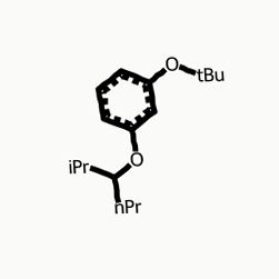 CCCC(Oc1cccc(OC(C)(C)C)c1)C(C)C